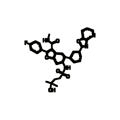 CNC(=O)c1c(-c2ccc(F)cc2)oc2cc(NS(=O)(=O)CCC(C)(C)O)c(-c3cccc(-c4nc5ncccc5o4)c3)cc12